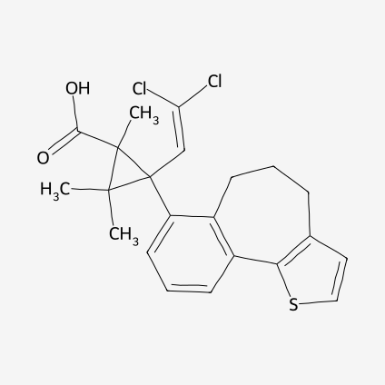 CC1(C)C(C)(C(=O)O)C1(C=C(Cl)Cl)c1cccc2c1CCCc1ccsc1-2